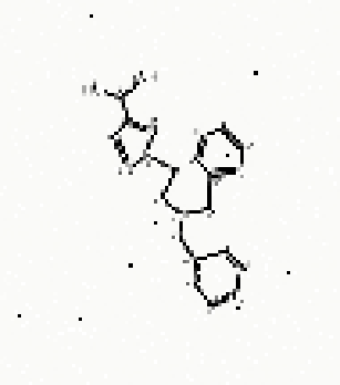 OB(O)c1cnn(CCN(Cc2ccccc2)Cc2ccccc2)n1